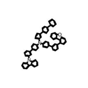 c1ccc(-c2ccc(-c3cccc(N(c4ccc(-c5cccc(-c6cccc7oc8ccccc8c67)c5)cc4)c4ccc(-c5cccc(-n6c7ccccc7c7ccccc76)c5)cc4)c3)cc2)cc1